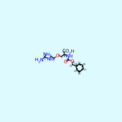 N=C(N)NCCOC[C@H](NC(=O)OCc1ccccc1)C(=O)O